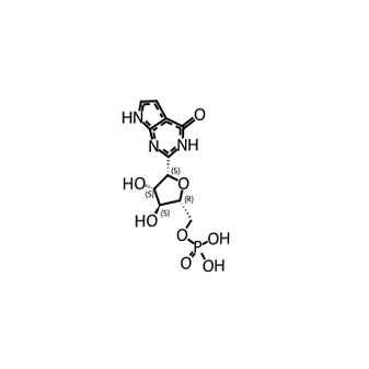 O=c1[nH]c([C@@H]2O[C@H](COP(=O)(O)O)[C@@H](O)[C@@H]2O)nc2[nH]ccc12